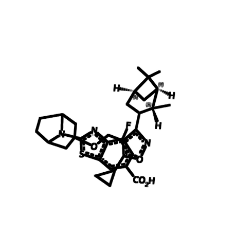 C[C@@H]1C(c2noc(C3CC3)c2COC2CC3CCC(C2)N3c2nc3c(F)cc(C(=O)O)cc3s2)C[C@@H]2C[C@H]1C2(C)C